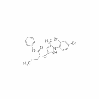 CCCC(ON1C=C(C)N(c2ccc(Br)cc2Br)N1)C(=O)Oc1ccccc1